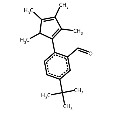 CC1=C(C)C(C)C(c2ccc(C(C)(C)C)cc2C=O)=C1C